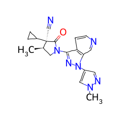 C[C@@H]1CN(c2nn(-c3cnn(C)c3)c3cnccc23)C(=O)[C@]1(C#N)C1CC1